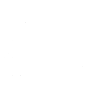 Cc1cc(-c2ccc(-c3cc(-c4ccccc4)nc(-c4ccccc4)n3)cc2)cc(C)c1-c1ccc(-n2c3ccc(N(c4ccccc4)c4ccccc4)cc3c3cc(N(c4ccccc4)c4ccccc4)ccc32)cc1